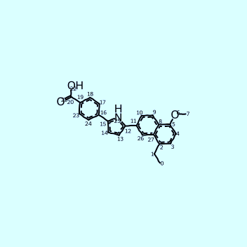 CCc1ccc(OC)c2ccc(-c3ccc(-c4ccc(C(=O)O)cc4)[nH]3)cc12